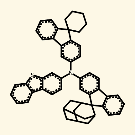 c1ccc2c(c1)-c1cc(N(c3ccc4c(c3)C3(c5ccccc5-4)C4CC5CC(C4)CC3C5)c3ccc4c(c3)sc3ccccc34)ccc1C21CCCCC1